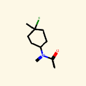 C=[N+](C(C)=O)C1CCC(C)(F)CC1